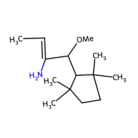 CC=C(N)C(OC)C1C(C)(C)CCC1(C)C